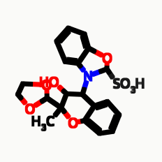 CC1(C2OCCO2)Oc2ccccc2C(N2c3ccccc3OC2S(=O)(=O)O)C1O